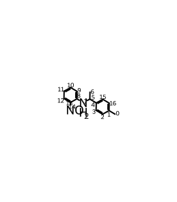 Cc1ccc(C(C)Nc2ccccc2[N+](=O)[O-])cc1